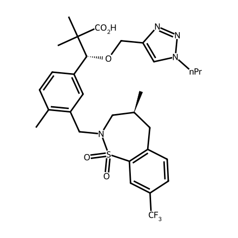 CCCn1cc(CO[C@H](c2ccc(C)c(CN3C[C@@H](C)Cc4ccc(C(F)(F)F)cc4S3(=O)=O)c2)C(C)(C)C(=O)O)nn1